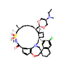 CCN(C)[C@H]1CO[C@@H]([C@@H]2CCC[C@H](C)[C@@H](C)S(=O)(=O)NC(=O)c3ccc4c(c3)N(C[C@@H]3CC[C@H]32)C[C@@]2(CCCc3cc(Cl)ccc32)CO4)OC1